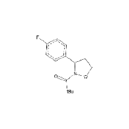 CC(C)(C)C(=O)N1OCCC1c1ccc(F)cc1